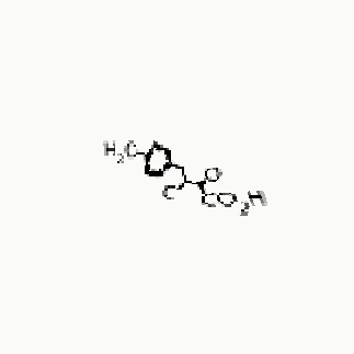 Cc1ccc(CC(Cl)C(=O)C(=O)O)cc1